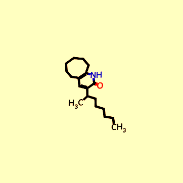 CCCCCCC(C)c1cc2c([nH]c1=O)CCCCCC2